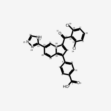 O=C(O)c1ccc(-c2cc(C(=O)c3c(Cl)cccc3Cl)n3cc(-c4nnc[nH]4)ccc23)cc1